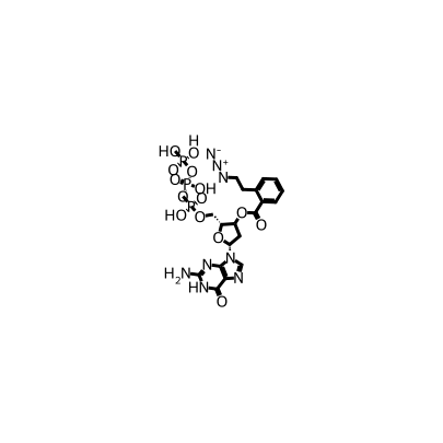 [N-]=[N+]=NCCc1ccccc1C(=O)OC1C[C@H](n2cnc3c(=O)[nH]c(N)nc32)O[C@@H]1COP(=O)(O)OP(=O)(O)OP(=O)(O)O